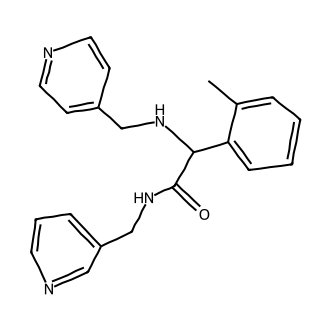 Cc1ccccc1C(NCc1ccncc1)C(=O)NCc1cccnc1